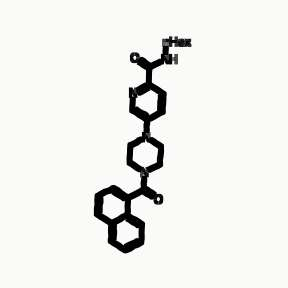 CCCCCCNC(=O)c1ccc(N2CCN(C(=O)c3cccc4ccccc34)CC2)cn1